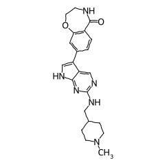 CN1CCC(CNc2ncc3c(-c4ccc5c(c4)OCCNC5=O)c[nH]c3n2)CC1